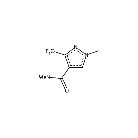 CNC(=O)c1cn(C)nc1C(F)(F)F